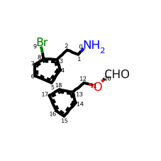 NCCc1ccccc1Br.O=COCc1ccccc1